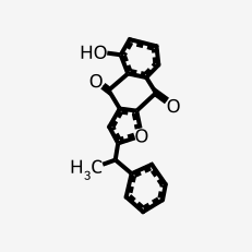 CC(c1ccccc1)c1cc2c(o1)C(=O)c1cccc(O)c1C2=O